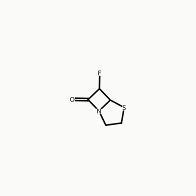 O=C1C(F)C2SCCN12